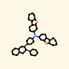 c1ccc(-c2cc3ccccc3cc2-c2ccc(N(c3ccc4c(c3)oc3ccccc34)c3ccc4c(c3)oc3ccccc34)cc2)cc1